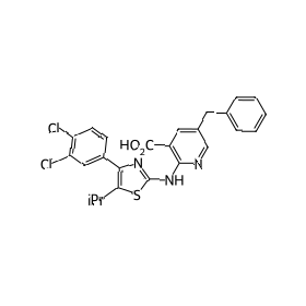 CC(C)c1sc(Nc2ncc(Cc3ccccc3)cc2C(=O)O)nc1-c1ccc(Cl)c(Cl)c1